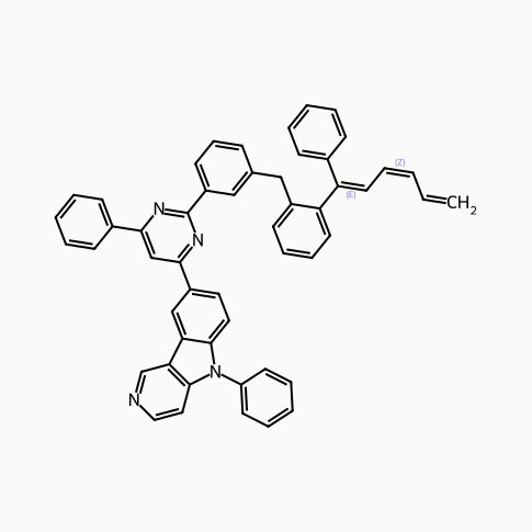 C=C/C=C\C=C(/c1ccccc1)c1ccccc1Cc1cccc(-c2nc(-c3ccccc3)cc(-c3ccc4c(c3)c3cnccc3n4-c3ccccc3)n2)c1